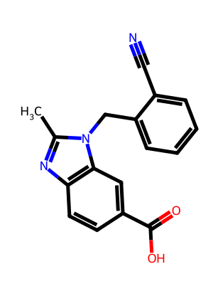 Cc1nc2ccc(C(=O)O)cc2n1Cc1ccccc1C#N